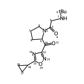 CC(C)(C)NCC(=O)N1CCCC1C(=O)c1noc(C2CC2)n1